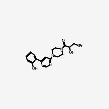 CC(C)CC(O)C(=O)N1CCN(c2cc(-c3ccccc3O)ncn2)CC1